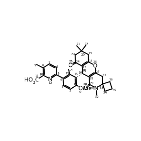 COc1ccc(-c2ccc(C)c(C(=O)O)n2)c(C)c1[C@@H]1C2=C(CC(C)(C)CC2=O)OC2=C1C(=O)N(C)C1(CCC1)C2